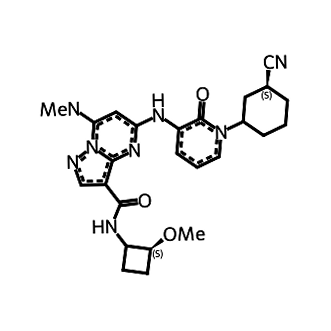 CNc1cc(Nc2cccn(C3CCC[C@H](C#N)C3)c2=O)nc2c(C(=O)NC3CC[C@@H]3OC)cnn12